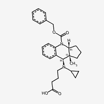 C[C@]12CCC[C@H]1N(C(=O)OCc1ccccc1)c1ccccc1[C@@H]2N(CCCC(=O)O)C1CC1